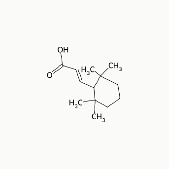 CC1(C)CCCC(C)(C)C1/C=C/C(=O)O